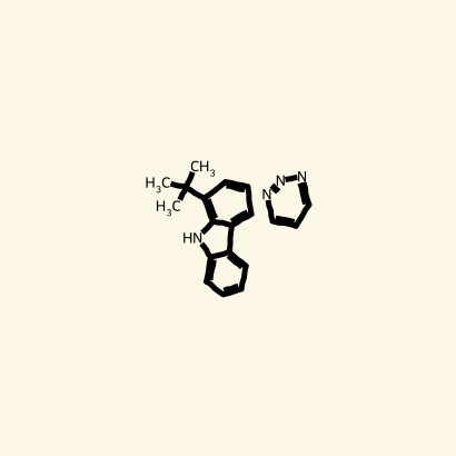 CC(C)(C)c1cccc2c1[nH]c1ccccc12.c1cnnnc1